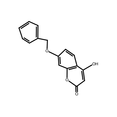 O=c1cc(O)c2ccc(OCc3ccccc3)cc2o1